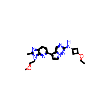 CCO[C@H]1C[C@H](Nc2ncc3c(-c4ccc5nc(C)n(CCOC)c5n4)ccn3n2)C1